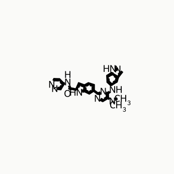 CN(C)c1cnc(-c2ccc3cc(C(=O)Nc4ccnnc4)[nH]c3c2)nc1Nc1ccc2[nH]ncc2c1